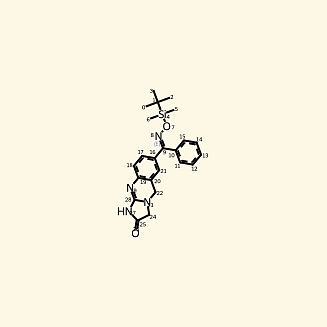 CC(C)(C)[Si](C)(C)O/N=C(\c1ccccc1)c1ccc2c(c1)CN1CC(=O)NC1=N2